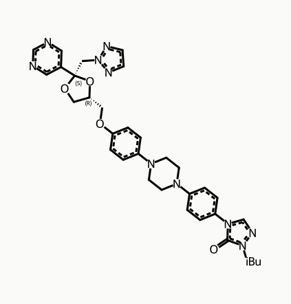 CCC(C)n1ncn(-c2ccc(N3CCN(c4ccc(OC[C@@H]5CO[C@@](Cn6nccn6)(c6cncnc6)O5)cc4)CC3)cc2)c1=O